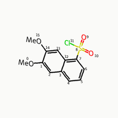 COc1cc2cccc(S(=O)(=O)Cl)c2cc1OC